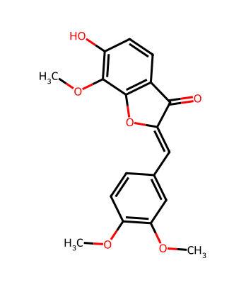 COc1ccc(C=C2Oc3c(ccc(O)c3OC)C2=O)cc1OC